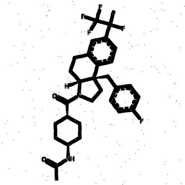 CC(=O)N[C@H]1CC[C@@H](C(=O)N2CC[C@@]3(Cc4ccc(F)cc4)c4ccc(C(C)(F)C(F)(F)F)cc4CC[C@@H]23)CC1